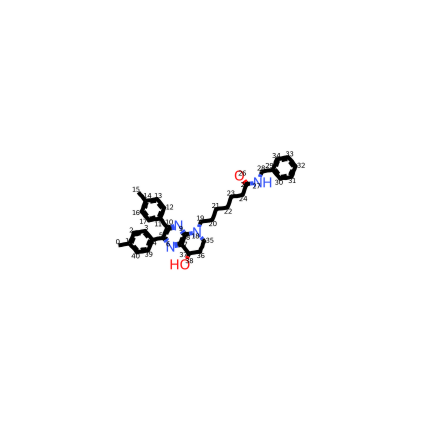 Cc1ccc(-c2nc3c(nc2-c2ccc(C)cc2)N(CCCCCCC(=O)NCc2ccccc2)CCC3O)cc1